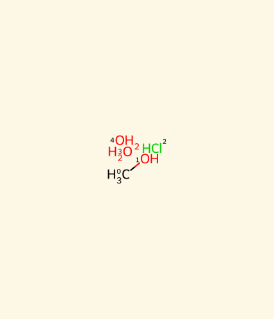 CO.Cl.O.O